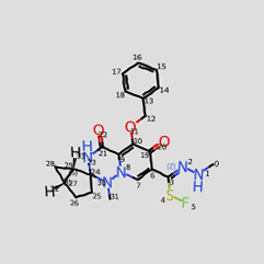 CN/N=C(\SF)c1cn2c(c(OCc3ccccc3)c1=O)C(=O)NC1(CC[C@@H]3C[C@@H]31)N2C